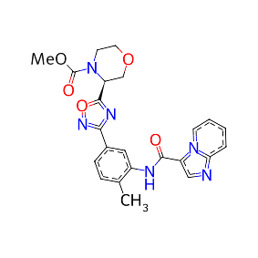 COC(=O)N1CCOC[C@H]1c1nc(-c2ccc(C)c(NC(=O)c3cnc4ccccn34)c2)no1